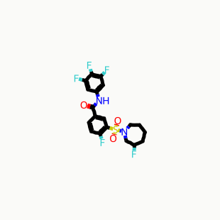 O=C(Nc1cc(F)c(F)c(F)c1)c1ccc(F)c(S(=O)(=O)N2CCCCC(F)C2)c1